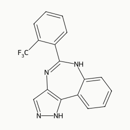 FC(F)(F)c1ccccc1C1=Nc2cn[nH]c2-c2ccccc2N1